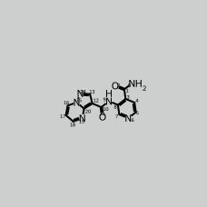 NC(=O)c1ccncc1NC(=O)c1cnn2cccnc12